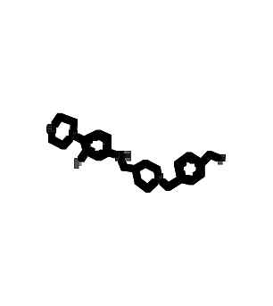 FCc1ccc(CN2CCC(CNc3ccc(N4CCOCC4)c(F)c3)CC2)cc1